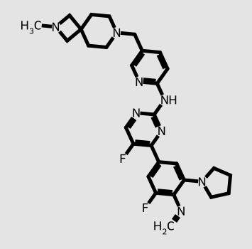 C=Nc1c(F)cc(-c2nc(Nc3ccc(CN4CCC5(CC4)CN(C)C5)cn3)ncc2F)cc1N1CCCC1